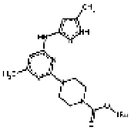 Cc1cc(Nc2cc(C)[nH]n2)nc(N2CCN(C(=O)OC(C)(C)C)CC2)n1